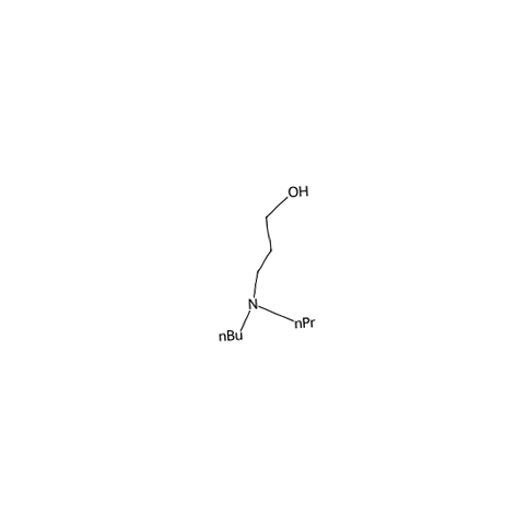 CCCCN(CCC)CCCO